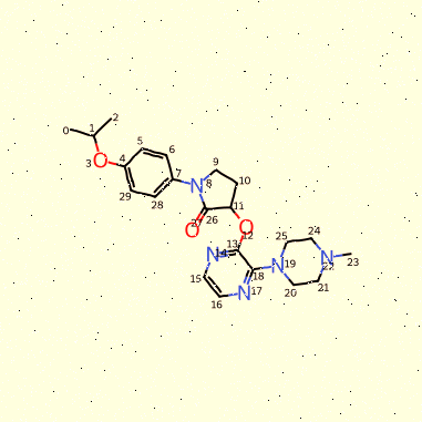 CC(C)Oc1ccc(N2CCC(Oc3nccnc3N3CCN(C)CC3)C2=O)cc1